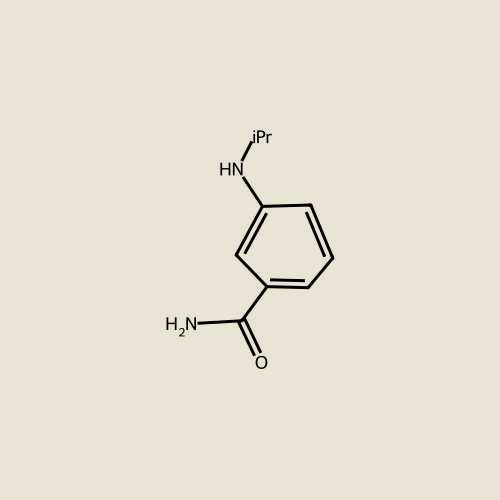 CC(C)Nc1cccc(C(N)=O)c1